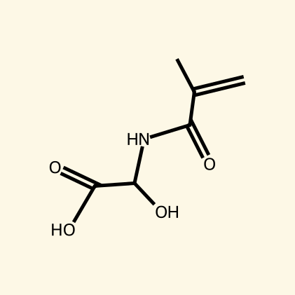 C=C(C)C(=O)NC(O)C(=O)O